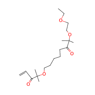 C=CC(=O)C(C)(C)OCCCCCC(=O)C(C)(C)OCCOCC